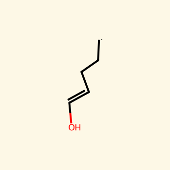 [CH2]CCC=CO